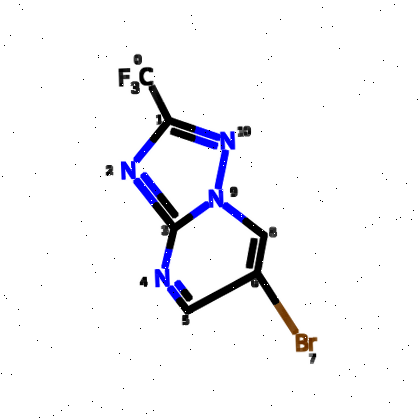 FC(F)(F)c1nc2ncc(Br)cn2n1